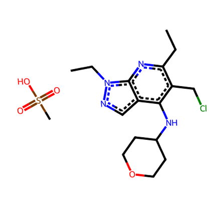 CCc1nc2c(cnn2CC)c(NC2CCOCC2)c1CCl.CS(=O)(=O)O